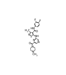 Cc1nsc(Nc2cncc(C(=O)N3CCN(C)CC3)n2)c1C(=O)Nc1ccc(F)c(F)c1